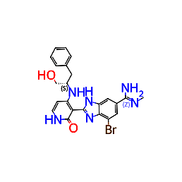 C/N=C(\N)c1cc(Br)c2nc(-c3c(N[C@H](CO)Cc4ccccc4)cc[nH]c3=O)[nH]c2c1